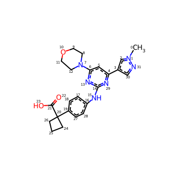 Cn1cc(-c2cc(N3CCOCC3)nc(Nc3ccc(C4(C(=O)O)CCC4)cc3)n2)cn1